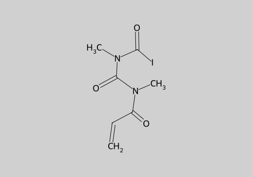 C=CC(=O)N(C)C(=O)N(C)C(=O)I